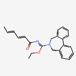 C/C=C/C=C/C(=O)N=C(OCC)N1Cc2ccccc2-c2ccccc2C1